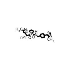 CCC[C@@H](C(=O)N1CCC[C@H]1C(=O)NCc1ccc(-c2scnc2C)cc1)c1cc(C)no1